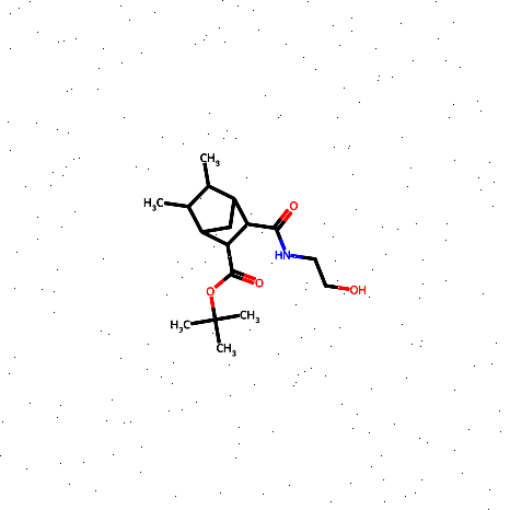 CC1C(C)C2CC1C(C(=O)NCCO)C2C(=O)OC(C)(C)C